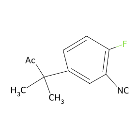 [C-]#[N+]c1cc(C(C)(C)C(C)=O)ccc1F